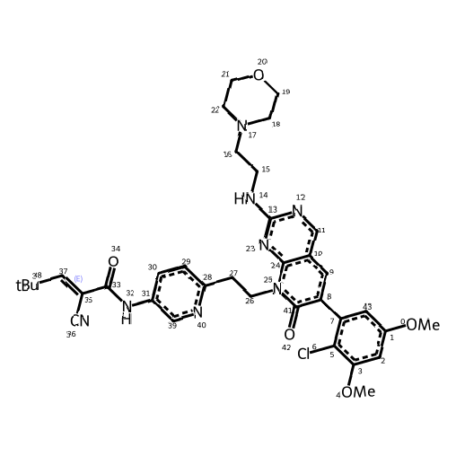 COc1cc(OC)c(Cl)c(-c2cc3cnc(NCCN4CCOCC4)nc3n(CCc3ccc(NC(=O)/C(C#N)=C/C(C)(C)C)cn3)c2=O)c1